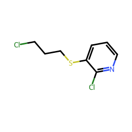 ClCCCSc1cccnc1Cl